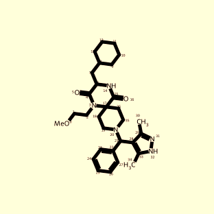 COCCN1C(=O)C(CC2CCCCC2)NC(=O)C12CCN(C(c1ccccc1)c1c(C)n[nH]c1C)CC2